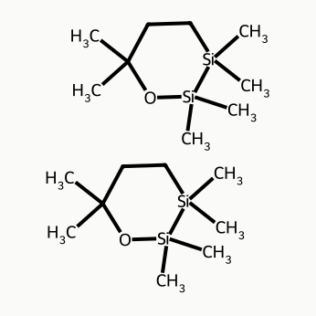 CC1(C)CC[Si](C)(C)[Si](C)(C)O1.CC1(C)CC[Si](C)(C)[Si](C)(C)O1